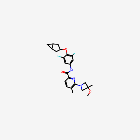 COC1(C)CN(c2nc(C(=O)Nc3cc(F)c(OC4CC5CC5C4)c(F)c3)ccc2C)C1